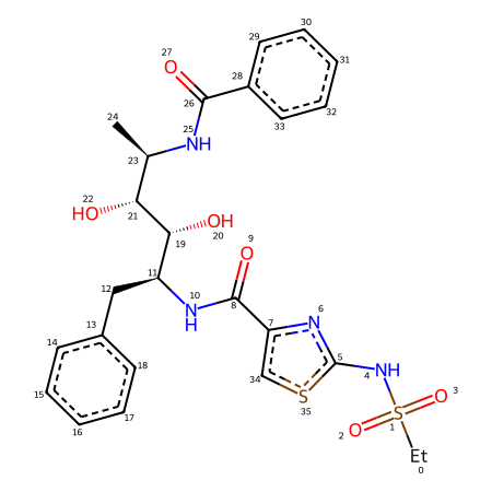 CCS(=O)(=O)Nc1nc(C(=O)N[C@@H](Cc2ccccc2)[C@@H](O)[C@H](O)[C@@H](C)NC(=O)c2ccccc2)cs1